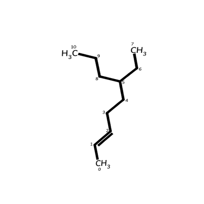 CC=CCCC(CC)CCC